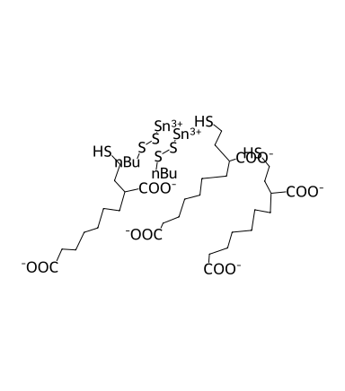 CCCCS[S][Sn+3].CCCCS[S][Sn+3].O=C([O-])CCCCCCC(CCS)C(=O)[O-].O=C([O-])CCCCCCC(CCS)C(=O)[O-].O=C([O-])CCCCCCC(CCS)C(=O)[O-]